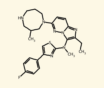 CCc1nc2ccc(N3CCCNCC(C)C3)nn2c1N(C)c1nc(-c2ccc(F)cc2)cs1